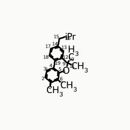 Cc1c[c]c2c(c1C)OC(C)(C)c1cc(CC(C)C)ccc1-2